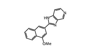 COc1cc(-c2nc3cnccc3[nH]2)cc2ccccc12